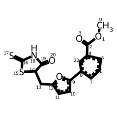 COC(=O)c1cccc(-c2ccc(CC3SC(=S)NC3=O)o2)c1